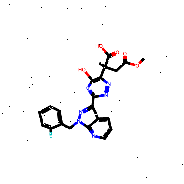 COC(=O)CC(C)(C(=O)O)c1nnc(-c2nn(Cc3ccccc3F)c3ncccc23)nc1O